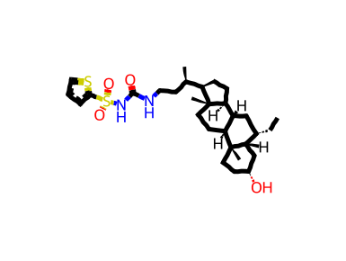 CC[C@H]1C[C@@H]2[C@H](CC[C@]3(C)[C@@H]([C@H](C)CCNC(=O)NS(=O)(=O)c4cccs4)CC[C@@H]23)[C@@]2(C)CC[C@@H](O)C[C@@H]12